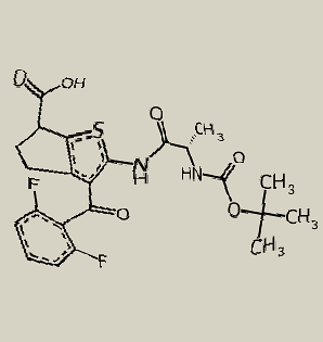 C[C@H](NC(=O)OC(C)(C)C)C(=O)Nc1sc2c(c1C(=O)c1c(F)cccc1F)CCC2C(=O)O